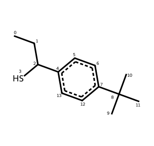 CCC(S)c1ccc(C(C)(C)C)cc1